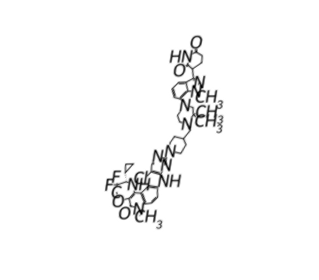 Cn1nc(C2CCC(=O)NC2=O)c2cccc(N3CCN(CC4CCN(c5ncc(Cl)c(Nc6ccc7c(c6)c6c(c(=O)n7C)OCC(F)(F)[C@H](C7CC7)N6)n5)CC4)C(C)(C)C3)c21